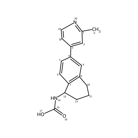 Cc1cc(-c2ccc3c(c2)CCCC3NC(=O)O)ccn1